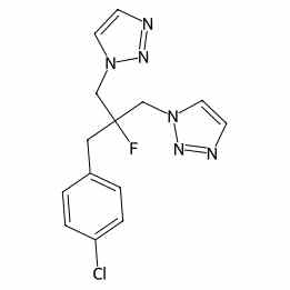 FC(Cc1ccc(Cl)cc1)(Cn1ccnn1)Cn1ccnn1